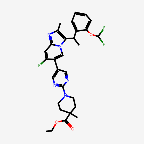 CCOC(=O)C1(C)CCN(c2ncc(-c3cn4c(C(C)c5ccccc5OC(F)F)c(C)nc4cc3F)cn2)CC1